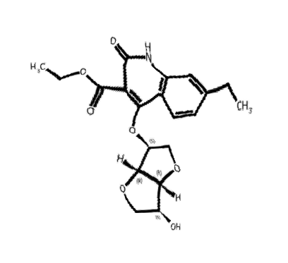 CCOC(=O)c1c(O[C@H]2CO[C@H]3[C@@H]2OC[C@@H]3O)c2ccc(CC)cc2[nH]c1=O